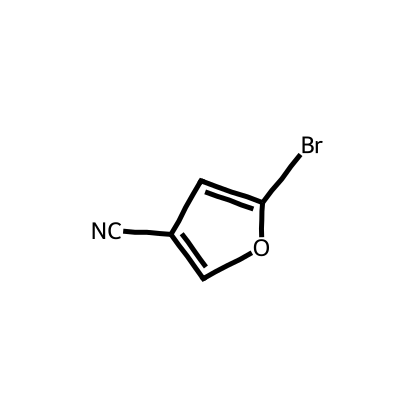 N#Cc1coc(Br)c1